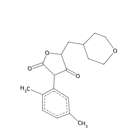 Cc1ccc(C)c(C2C(=O)OC(CC3CCOCC3)C2=O)c1